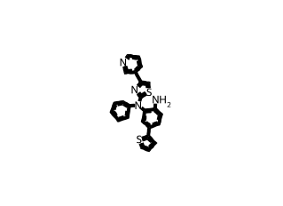 Nc1ccc(-c2cccs2)cc1N(c1ccccc1)c1nc(-c2cccnc2)cs1